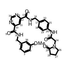 COc1cccc(CNC(=O)c2cc(C(=O)NCc3ccc(NC(=O)CN4CCCC4=O)cc3)ncn2)c1